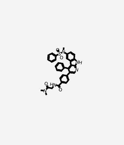 CN(C)C(=O)CNC(=O)c1ccc(-c2cnc3[nH]c4ccc(N(C)S(=O)(=O)c5ccccc5)cc4c3c2-c2ccccc2)cc1